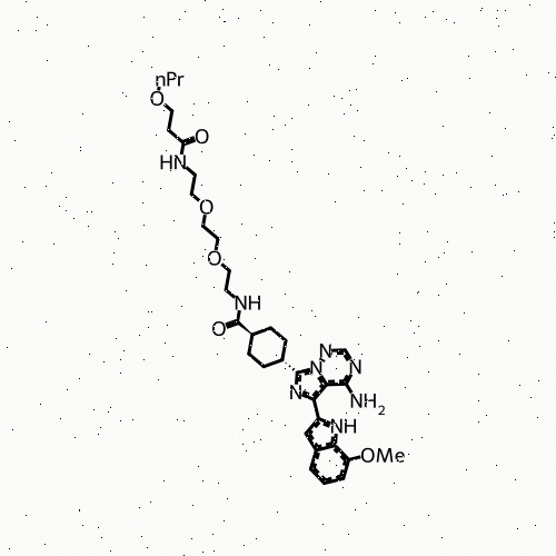 CCCOCCC(=O)NCCOCCOCCNC(=O)[C@H]1CC[C@H](c2nc(-c3cc4cccc(OC)c4[nH]3)c3c(N)ncnn32)CC1